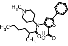 CCCCC(C)C(=O)N(c1cc(-c2ccccc2)sc1C(=O)O)C1CCN(C)CC1